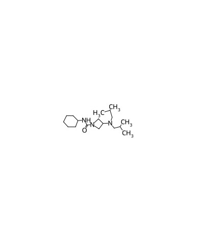 CC(C)CN(CC(C)C)C1CN(C(=O)NC2CCCCC2)C1